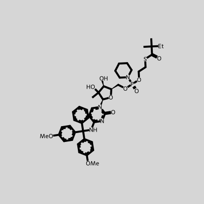 CCC(C)(C)C(=O)SCCOP(=O)(OC[C@H]1O[C@@H](n2ccc(NC(c3ccccc3)(c3ccc(OC)cc3)c3ccc(OC)cc3)nc2=O)C(C)(O)[C@H]1O)N1CCCCC1